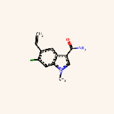 C=Cc1cc2c(C(N)=O)cn(C)c2cc1F